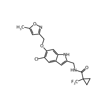 Cc1cc(COc2cc3[nH]c(CNC(=O)C4(C(F)(F)F)CC4)cc3cc2Cl)no1